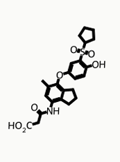 Cc1cc(NC(=O)CC(=O)O)c2c(c1Oc1ccc(O)c(S(=O)(=O)C3CCCC3)c1)CCC2